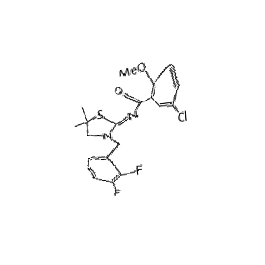 COc1ccc(Cl)cc1C(=O)/N=C1\SC(C)(C)CN1Cc1cccc(F)c1F